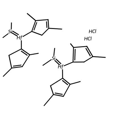 CC1=CC(C)=[C]([Hf]([C]2=C(C)C=C(C)C2)=[Si](C)C)C1.CC1=CC(C)=[C]([Hf]([C]2=C(C)C=C(C)C2)=[Si](C)C)C1.Cl.Cl